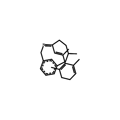 CC1=CCCC(C)=C1/C(C)=C/C1=N\Cc2cccc(c2)CC(C)CC1